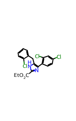 CCOC(=O)c1nc(-c2ccc(Cl)cc2Cl)c(Cc2ccccc2Cl)[nH]1